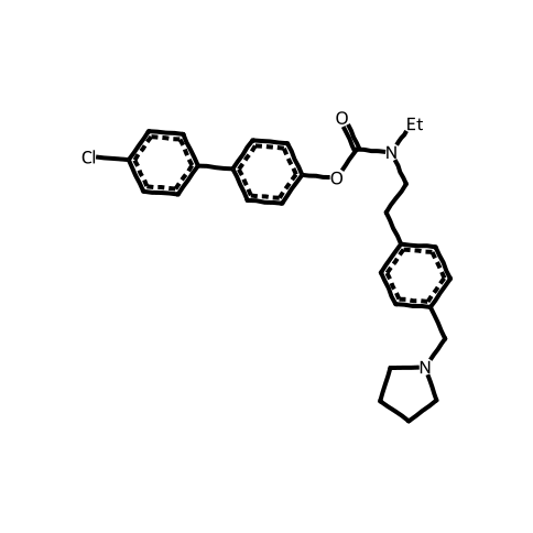 CCN(CCc1ccc(CN2CCCC2)cc1)C(=O)Oc1ccc(-c2ccc(Cl)cc2)cc1